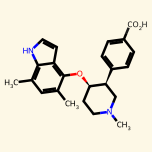 Cc1cc(C)c2[nH]ccc2c1O[C@@H]1CCN(C)C[C@@H]1c1ccc(C(=O)O)cc1